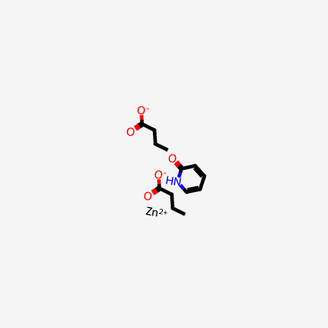 CCCC(=O)[O-].CCCC(=O)[O-].O=c1cccc[nH]1.[Zn+2]